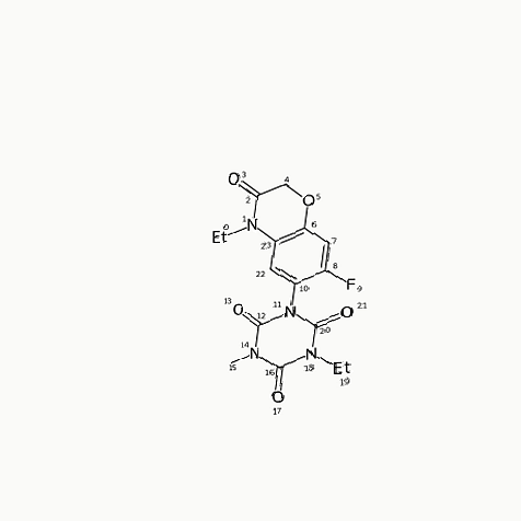 CCN1C(=O)COc2cc(F)c(-n3c(=O)n(C)c(=O)n(CC)c3=O)cc21